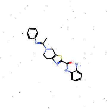 CC(=Nc1ccccc1)N1CCc2nc(C(=O)Nc3ccccc3N)sc2C1